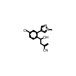 C=C(C#N)CC(O)c1ccc(Cl)cc1-c1cnn(C)c1